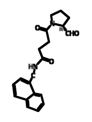 O=C[C@@H]1CCCN1C(=O)CCC(=O)NCc1cccc2ccccc12